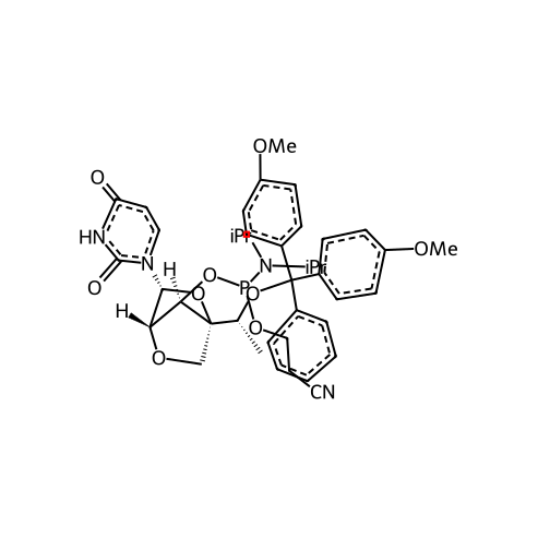 COc1ccc(C(O[C@H](C)[C@]23CO[C@H]([C@H](n4ccc(=O)[nH]c4=O)O2)[C@H]3OP(OCCC#N)N(C(C)C)C(C)C)(c2ccccc2)c2ccc(OC)cc2)cc1